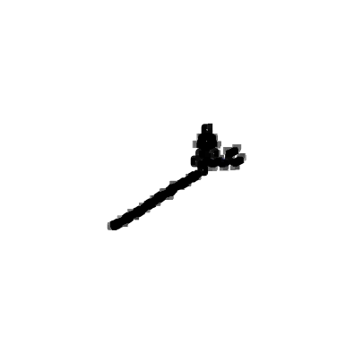 C#CC#CC#CC#CC#CC#CC#CC#COC(=O)/C(=C/C=C/N(CC)CC)S(=O)(=O)c1ccc(Cl)cc1